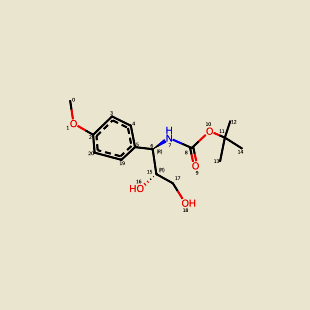 COc1ccc([C@@H](NC(=O)OC(C)(C)C)[C@@H](O)CO)cc1